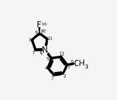 Cc1cccc(N2CC[C@@H](F)C2)c1